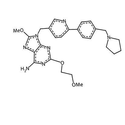 COCCOc1nc(N)c2nc(OC)n(Cc3ccc(-c4ccc(CN5CCCC5)cc4)nc3)c2n1